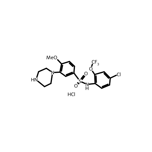 COc1ccc(S(=O)(=O)Nc2ccc(Cl)cc2OC(F)(F)F)cc1N1CCNCC1.Cl